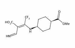 COC(=O)[C@H]1CC[C@@H](N/C(=C(\C=N)C(=O)O)C(F)(F)F)CC1